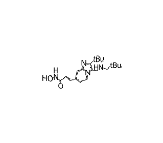 CC(C)(C)CNCc1c(C(C)(C)C)nc2cc(C=CC(=O)NO)ccn12